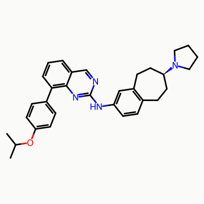 CC(C)Oc1ccc(-c2cccc3cnc(Nc4ccc5c(c4)CC[C@@H](N4CCCC4)CC5)nc23)cc1